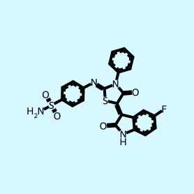 NS(=O)(=O)c1ccc(/N=C2\S/C(=C3\C(=O)Nc4ccc(F)cc43)C(=O)N2c2ccccc2)cc1